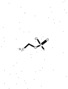 CCOP(=O)(Cl)I